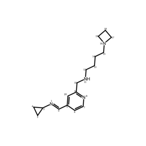 C(=NC1CC1)c1ccnc(CNCCCCN2CCC2)c1